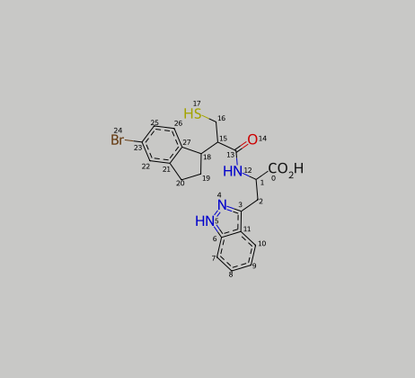 O=C(O)C(Cc1n[nH]c2ccccc12)NC(=O)C(CS)C1CCc2cc(Br)ccc21